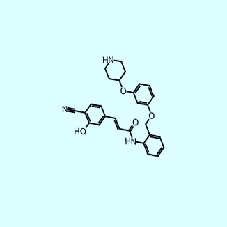 N#Cc1ccc(/C=C/C(=O)Nc2ccccc2COc2cccc(OC3CCNCC3)c2)cc1O